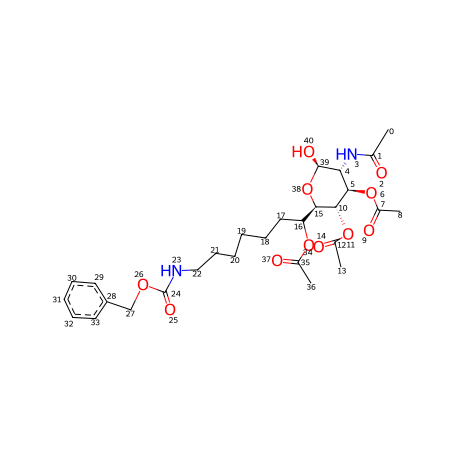 CC(=O)N[C@@H]1[C@@H](OC(C)=O)[C@H](OC(C)=O)[C@@H](C(CCCCCCNC(=O)OCc2ccccc2)OC(C)=O)O[C@H]1O